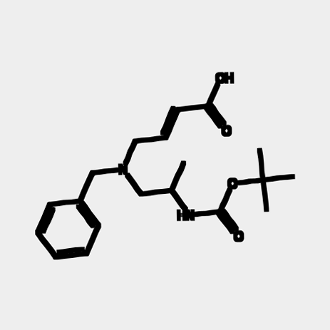 CC(CN(CC=CC(=O)O)Cc1ccccc1)NC(=O)OC(C)(C)C